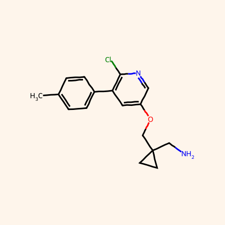 Cc1ccc(-c2cc(OCC3(CN)CC3)cnc2Cl)cc1